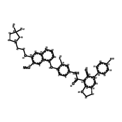 COc1cc2c(Oc3ccc(NC(=O)c4c5c(cn(-c6ccc(F)cc6)c4=O)CCO5)cc3F)ccnc2cc1OCCN1CCC(F)(F)C1